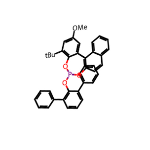 COc1cc(C(C)(C)C)c2op(Oc3c(-c4ccccc4)cccc3-c3ccccc3)oc3ccc4ccccc4c3c2c1